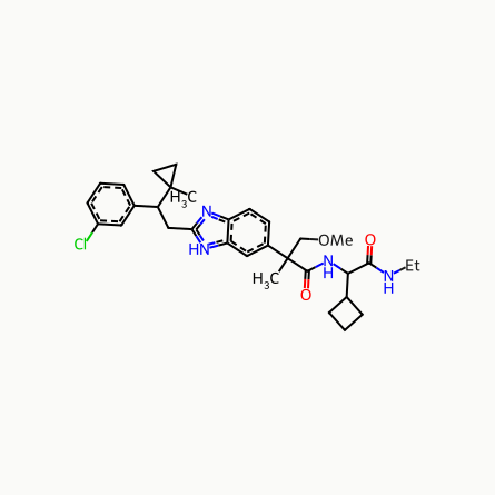 CCNC(=O)C(NC(=O)C(C)(COC)c1ccc2nc(CC(c3cccc(Cl)c3)C3(C)CC3)[nH]c2c1)C1CCC1